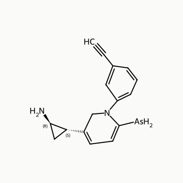 C#Cc1cccc(N2CC([C@@H]3C[C@H]3N)=CC=C2[AsH2])c1